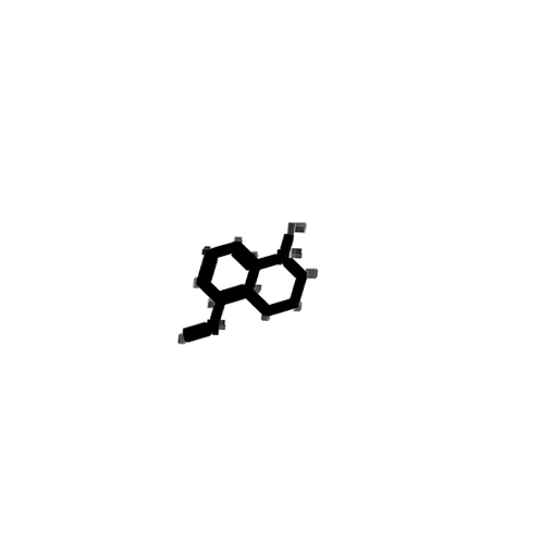 C=Nc1cccc2c1CCCN2I